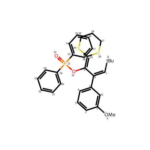 COc1cccc(C(=CC(C)(C)C)C(OP(=O)(c2ccccc2)c2ccccc2)=C2SCCCS2)c1